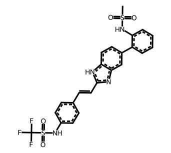 CS(=O)(=O)Nc1ccccc1-c1ccc2[nH]c(C=Cc3ccc(NS(=O)(=O)C(F)(F)F)cc3)nc2c1